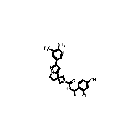 CC(NC(=O)N1CC2(CCn3nc(-c4cnc(N)c(C(F)(F)F)c4)cc32)C1)c1ccc(C#N)cc1Cl